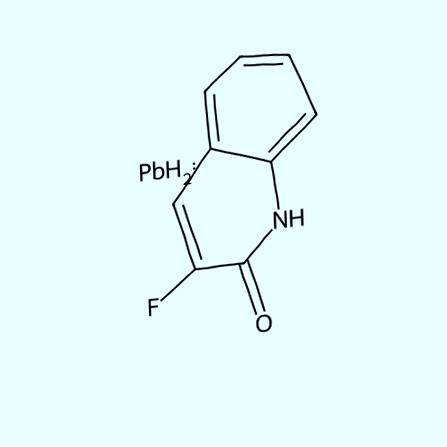 O=c1[nH]c2ccccc2cc1F.[PbH2]